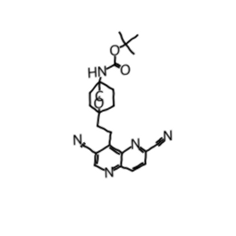 CC(C)(C)OC(=O)NC12CCC(CCc3c(C#N)cnc4ccc(C#N)nc34)(CC1)OC2